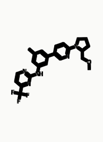 COCC1CCCN1c1ccc(-c2cc(C)cc(Nc3nccc(C(F)(F)F)n3)c2)cn1